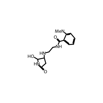 CNc1ccccc1C(=O)NCCNC1CC(=O)NC1O